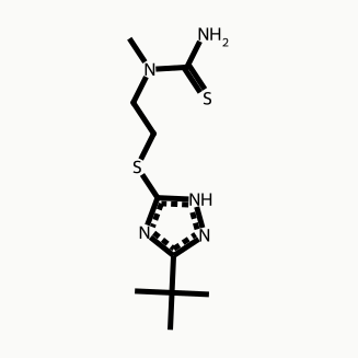 CN(CCSc1nc(C(C)(C)C)n[nH]1)C(N)=S